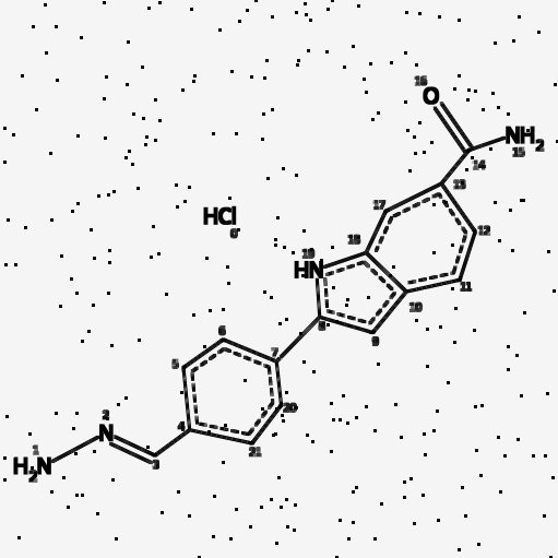 Cl.NN=Cc1ccc(-c2cc3ccc(C(N)=O)cc3[nH]2)cc1